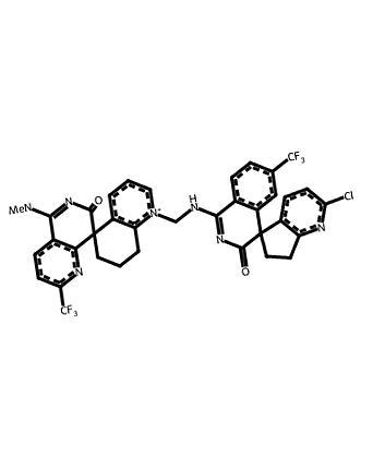 CNC1=NC(=O)C2(CCCc3c2ccc[n+]3CNC2=NC(=O)C3(CCc4nc(Cl)ccc43)c3cc(C(F)(F)F)ccc32)c2nc(C(F)(F)F)ccc21